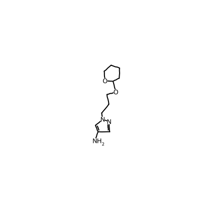 Nc1cnn(CCCOC2CCCCO2)c1